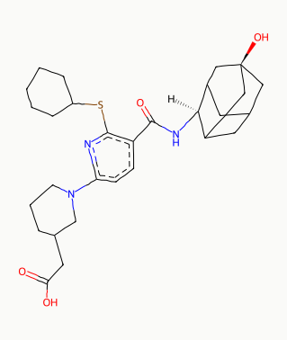 O=C(O)CC1CCCN(c2ccc(C(=O)N[C@H]3C4CC5CC3C[C@@](O)(C5)C4)c(SC3CCCCC3)n2)C1